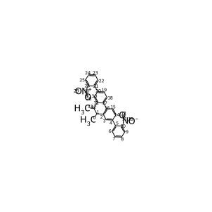 CC1c2cc(-c3ccccc3[N+](=O)[O-])ccc2-c2ccc(-c3ccccc3[N+](=O)[O-])cc2C1C